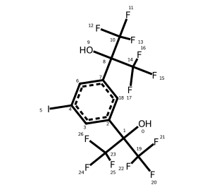 OC(c1cc(I)cc(C(O)(C(F)(F)F)C(F)(F)F)c1)(C(F)(F)F)C(F)(F)F